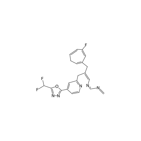 C=N/C=N\C=C(\CC1=CCC=CC(F)=C1)Cc1cc(-c2nnc(C(F)F)o2)ccn1